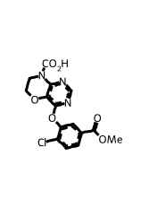 COC(=O)c1ccc(Cl)c(Oc2ncnc3c2OCCN3C(=O)O)c1